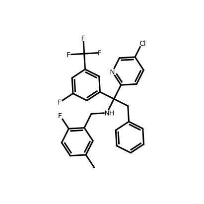 Cc1ccc(F)c(CNC(Cc2ccccc2)(c2cc(F)cc(C(F)(F)F)c2)c2ccc(Cl)cn2)c1